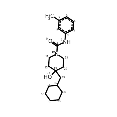 O=C(Nc1cccc(C(F)(F)F)c1)N1CCC(O)(CC2CCCCC2)CC1